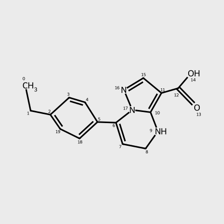 CCc1ccc(C2=CCNc3c(C(=O)O)cnn32)cc1